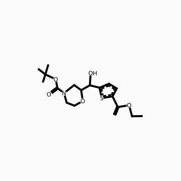 C=C(OCC)c1ccc(C(O)C2CN(C(=O)OC(C)(C)C)CCO2)s1